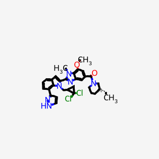 CC[C@@H]1CCCN(C(=O)c2cc(OC)c3c(c2)nc(-c2cc4cccc(-c5cc[nH]n5)c4n2CC2CC2(Cl)Cl)n3C)C1